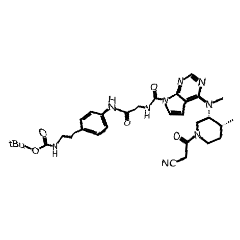 C[C@@H]1CCN(C(=O)CC#N)C[C@@H]1N(C)c1ncnc2c1ccn2C(=O)NCC(=O)Nc1ccc(CCNC(=O)OC(C)(C)C)cc1